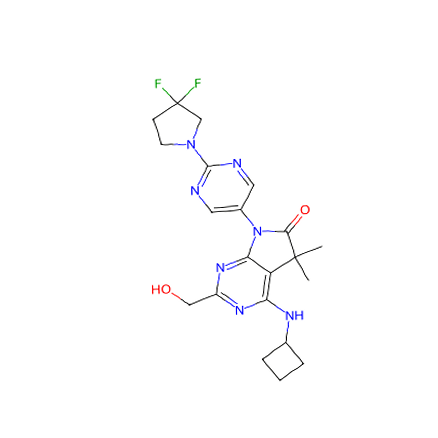 CC1(C)C(=O)N(c2cnc(N3CCC(F)(F)C3)nc2)c2nc(CO)nc(NC3CCC3)c21